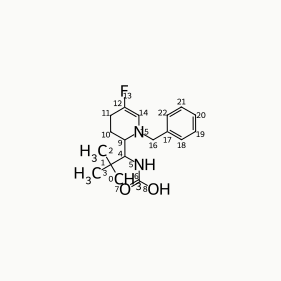 CC(C)(C)C(NC(=O)O)C1CCC(F)=CN1Cc1ccccc1